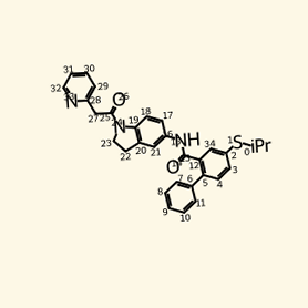 CC(C)Sc1ccc(-c2ccccc2)c(C(=O)Nc2ccc3c(c2)CCN3C(=O)Cc2ccccn2)c1